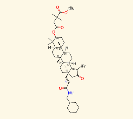 CC(C)C1=C2[C@H]3CC[C@@H]4[C@@]5(C)CC[C@H](OC(=O)CC(C)(C)C(=O)OC(C)(C)C)C(C)(C)[C@@H]5CC[C@@]4(C)[C@]3(C)CC[C@@]2(/C=C/C(=O)NCC2CCCCC2)CC1=O